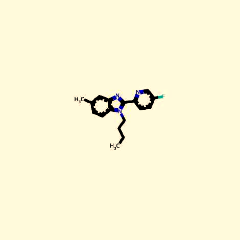 CCCCn1c(-c2ccc(F)cn2)nc2cc(C)ccc21